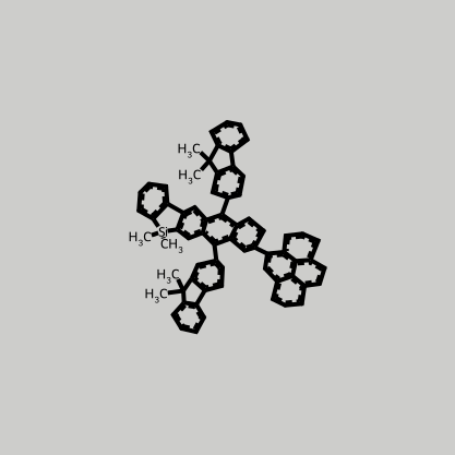 CC1(C)c2ccccc2-c2ccc(-c3c4ccc(-c5cc6cccc7ccc8cccc5c8c76)cc4c(-c4ccc5c(c4)C(C)(C)c4ccccc4-5)c4cc5c(cc34)-c3ccccc3[Si]5(C)C)cc21